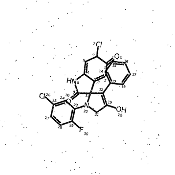 O=C1C=C2C(=CC1Cl)NC(=O)C21C(c2ccccc2)=C(O)CN1c1cc(Cl)ccc1F